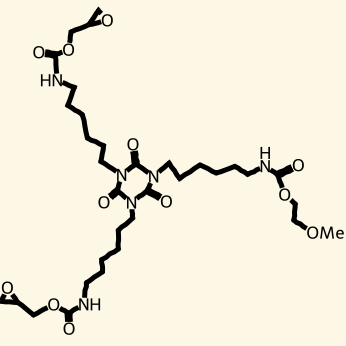 COCCOC(=O)NCCCCCCn1c(=O)n(CCCCCCNC(=O)OCC2CO2)c(=O)n(CCCCCCNC(=O)OCC2CO2)c1=O